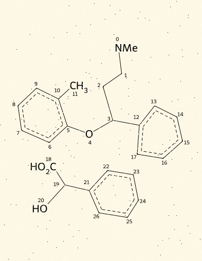 CNCCC(Oc1ccccc1C)c1ccccc1.O=C(O)C(O)c1ccccc1